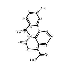 C[C@@H]1C[C@H](C(=O)O)c2ccccc2N1C(=O)c1ccc(F)cc1